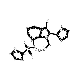 COCn1c(-c2nccs2)c(Cl)c2cccc(NS(=O)(=O)c3cccs3)c21